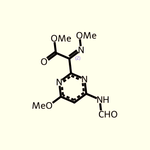 CO/N=C(\C(=O)OC)c1nc(NC=O)cc(OC)n1